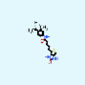 Cc1cc(NC(=O)CCCCC2SCC3NC(=O)NC32)ccc1C(C)C